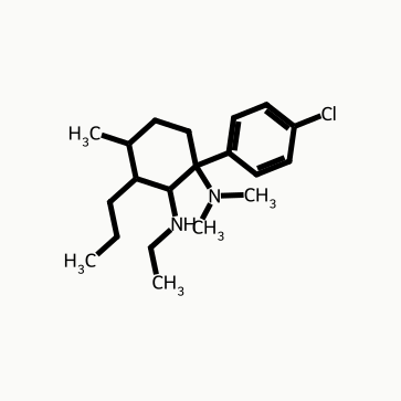 CCCC1C(C)CCC(c2ccc(Cl)cc2)(N(C)C)C1NCC